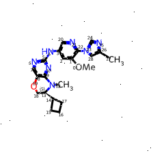 COc1cc(Nc2ncc3c(n2)N(C)[C@@H](C2CCC2)CO3)cnc1-n1cnc(C)c1